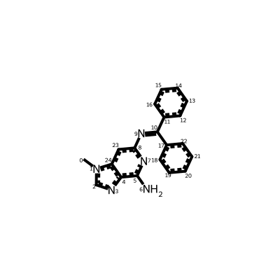 Cn1cnc2c(N)nc(N=C(c3ccccc3)c3ccccc3)cc21